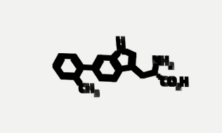 Cc1ccccc1-c1ccc2c(C[C@H](N)C(=O)O)c[nH]c2c1